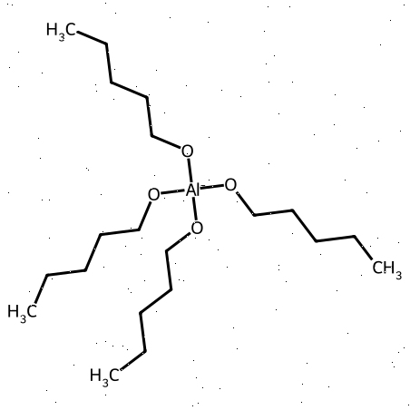 CCCCC[O][Al-]([O]CCCCC)([O]CCCCC)[O]CCCCC